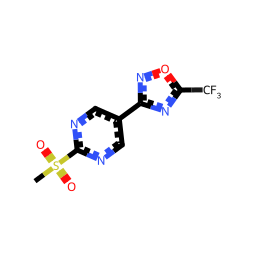 CS(=O)(=O)c1ncc(-c2noc(C(F)(F)F)n2)cn1